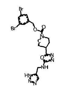 O=C(OCc1cc(Br)cc(Br)c1)N1CCC(c2nnc(NCc3cnn[nH]3)o2)CC1